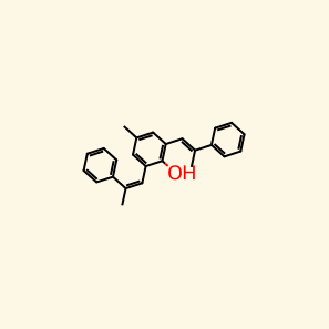 CC(=Cc1cc(C)cc(C=C(C)c2ccccc2)c1O)c1ccccc1